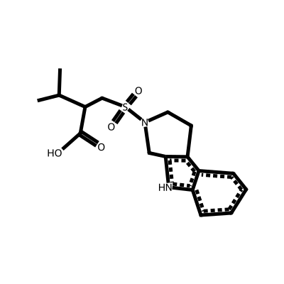 CC(C)C(CS(=O)(=O)N1CCc2c([nH]c3ccccc23)C1)C(=O)O